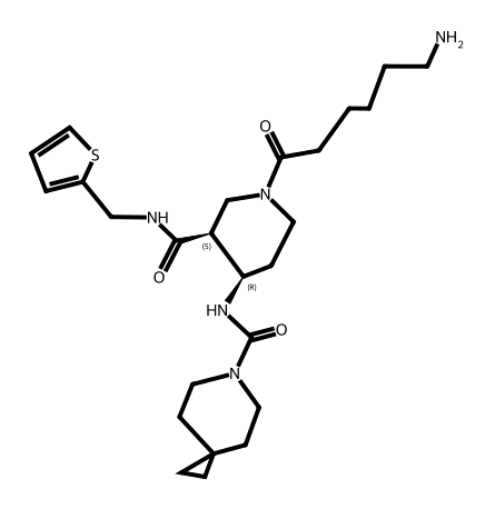 NCCCCCC(=O)N1CC[C@@H](NC(=O)N2CCC3(CC2)CC3)[C@@H](C(=O)NCc2cccs2)C1